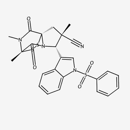 CN1C(=O)[C@@]23C[C@](C)(C#N)[C@H](c4cn(S(=O)(=O)c5ccccc5)c5ccccc45)N2C(=O)[C@]1(C)SS3